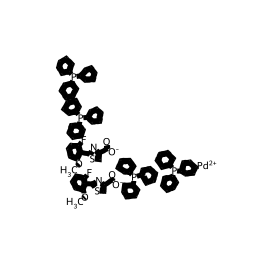 COc1cccc(F)c1-c1nc(C(=O)[O-])cs1.COc1cccc(F)c1-c1nc(C(=O)[O-])cs1.[Pd+2].c1ccc(P(c2ccccc2)c2ccccc2)cc1.c1ccc(P(c2ccccc2)c2ccccc2)cc1.c1ccc(P(c2ccccc2)c2ccccc2)cc1.c1ccc(P(c2ccccc2)c2ccccc2)cc1